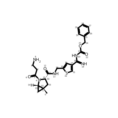 C[C@@]12C[C@@H]1N(C(=O)CCN)[C@H](C(=O)NCc1cc(C(=N)NC(=O)OCc3ccccc3)cs1)C2